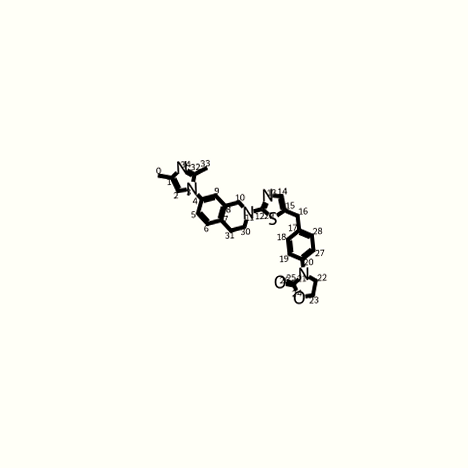 Cc1cn(-c2ccc3c(c2)CN(c2ncc(Cc4ccc(N5CCOC5=O)cc4)s2)CC3)c(C)n1